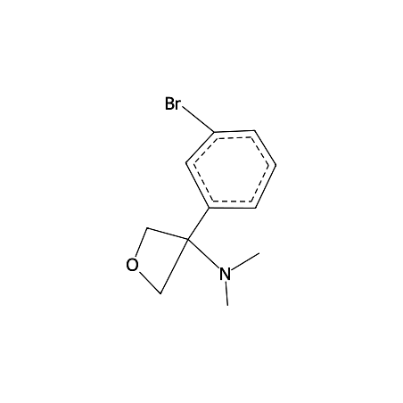 CN(C)C1(c2cccc(Br)c2)COC1